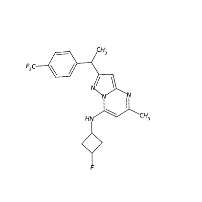 Cc1cc(NC2CC(F)C2)n2nc(C(C)c3ccc(C(F)(F)F)cc3)cc2n1